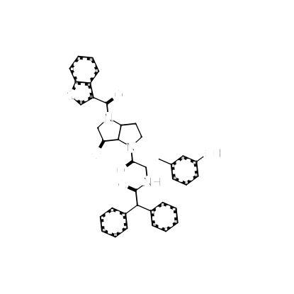 Cc1cccc(C[C@H](NC(=O)C(c2ccccc2)c2ccccc2)C(=O)N2CCC3C2C(=O)CN3C(=O)c2csc3ccccc23)c1